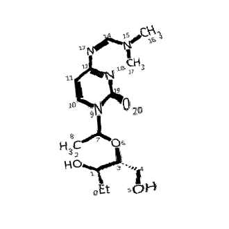 CC[C@@H](O)[C@@H](CO)OC(C)n1ccc(/N=C\N(C)C)nc1=O